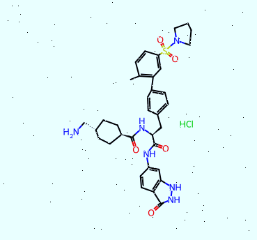 Cc1ccc(S(=O)(=O)N2CCCC2)cc1-c1ccc(C[C@H](NC(=O)[C@H]2CC[C@H](CN)CC2)C(=O)Nc2ccc3c(=O)[nH][nH]c3c2)cc1.Cl